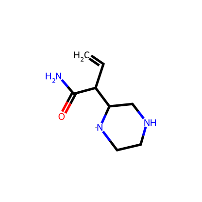 C=CC(C(N)=O)C1CNCC[N]1